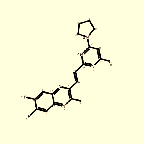 Cc1nc2cc(F)c(F)cc2nc1/C=C/c1nc(Cl)cc(N2CCCC2)n1